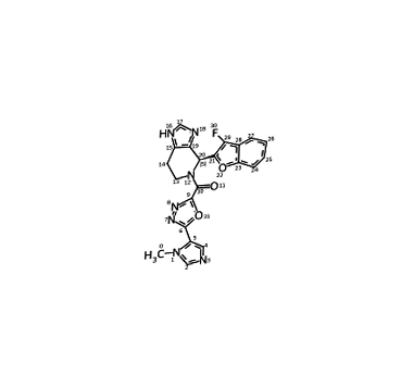 Cn1cncc1-c1nnc(C(=O)N2CCc3[nH]cnc3[C@H]2c2oc3ccccc3c2F)o1